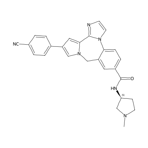 CN1CC[C@H](NC(=O)c2ccc3c(c2)Cn2cc(-c4ccc(C#N)cc4)cc2-c2nccn2-3)C1